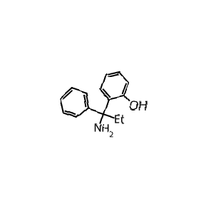 CCC(N)(c1ccccc1)c1ccccc1O